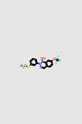 CSc1cccc(N2N=Cc3ccc(OC(F)(F)F)cc3B2O)c1